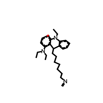 C=NCCCCCCCC(c1ccccc1N(CC)CC)c1ccccc1N(CC)CC